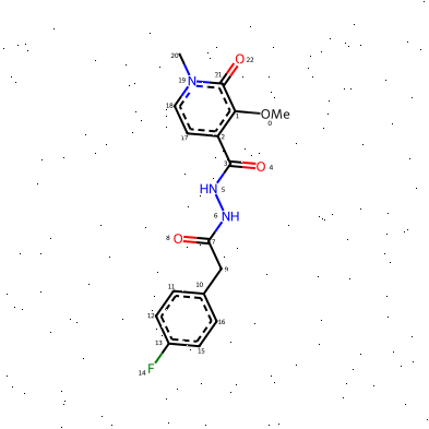 COc1c(C(=O)NNC(=O)Cc2ccc(F)cc2)ccn(C)c1=O